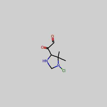 CC1(C)C(C(=O)C=O)NCN1Cl